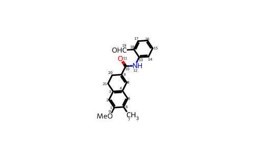 COc1cc2c(cc1C)C=C(C(=O)Nc1ccccc1C=O)CC2